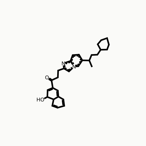 CC(CCC1CCCCC1)c1ccc2nc(CCC(=O)C3=CC(O)C4C=CC=CC4=C3)cn2c1